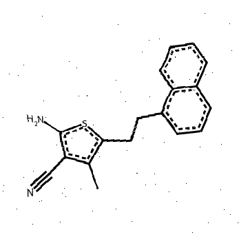 Cc1c(CCc2cccc3ccccc23)sc(N)c1C#N